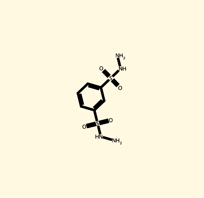 NNS(=O)(=O)c1cccc(S(=O)(=O)NN)c1